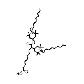 CCCCCCCCON1C(C)(C)CC(OC(=O)C(CCCCCCCC(=O)O)C2CC(C)(C)N(OCCCCCCCC)C(C)(C)C2)CC1(C)C